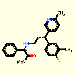 CNC(=O)[C@@H](NCC[C@H](c1ccc(C)nc1)c1ccc(F)c(C)c1)c1ccccc1